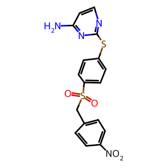 Nc1ccnc(Sc2ccc(S(=O)(=O)Cc3ccc([N+](=O)[O-])cc3)cc2)n1